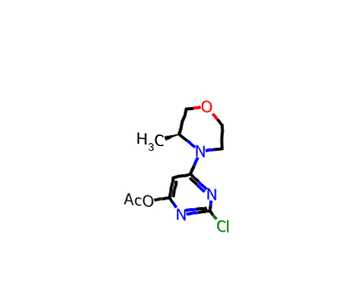 CC(=O)Oc1cc(N2CCOC[C@@H]2C)nc(Cl)n1